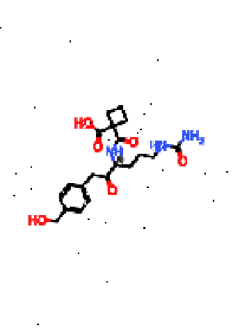 NC(=O)NCCC[C@H](NC(=O)C1(C(=O)O)CCC1)C(=O)Cc1ccc(CO)cc1